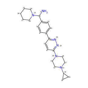 NC(c1ccc(-c2ccc(N3CCN(C4CC4)CC3)nn2)cc1)N1CCCCC1